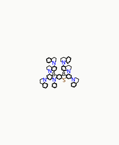 c1ccc(N2c3cc4c(cc3B3c5ccc(N6CCCc7ccccc76)c6c5N(CCC6)c5cc(N6CCCc7ccccc76)cc2c53)B2c3ccc(N5CCCc6ccccc65)c5c3N(CCC5)c3cc(N5CCCc6ccccc65)cc(c32)S4)cc1